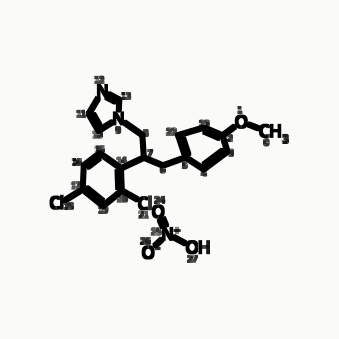 COc1ccc(CC(Cn2ccnc2)c2ccc(Cl)cc2Cl)cc1.O=[N+]([O-])O